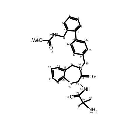 COC(=O)NCc1ccccc1-c1ccc(CN2Cc3ccccc3S[C@@H](NC(=O)C(C)(C)N)C2=O)cc1